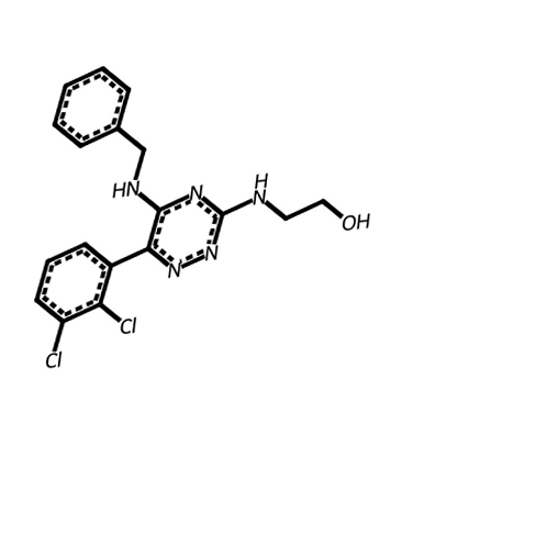 OCCNc1nnc(-c2cccc(Cl)c2Cl)c(NCc2ccccc2)n1